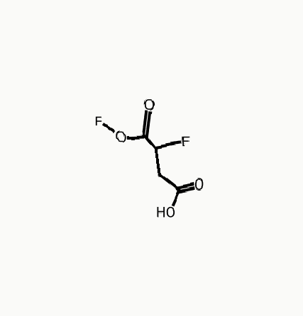 O=C(O)CC(F)C(=O)OF